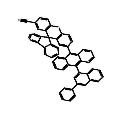 N#Cc1ccc2c(c1)C1(c3cc(-c4c5ccccc5c(-c5cc(-c6ccccc6)cc6ccccc56)c5ccccc45)ccc3S2)c2ccccc2-c2ccccc21